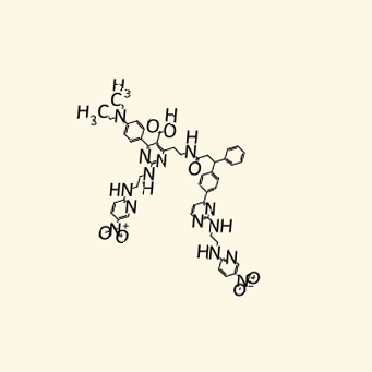 CCN(CC)c1ccc(-c2nc(NCCNc3ccc([N+](=O)[O-])cn3)nc(CCNC(=O)CC(c3ccccc3)c3ccc(-c4ccnc(NCCNc5ccc([N+](=O)[O-])cn5)n4)cc3)c2C(=O)O)cc1